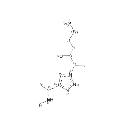 BPCCC(=O)C(C)n1cc(C(C)NC)nn1